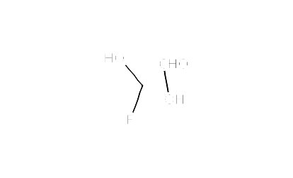 O=CO.OCF